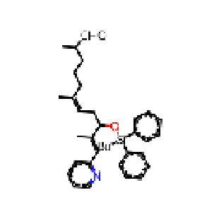 CC(=CCC(O[Si](c1ccccc1)(c1ccccc1)C(C)(C)C)C(C)=Cc1ccccn1)CCCC(C)C=O